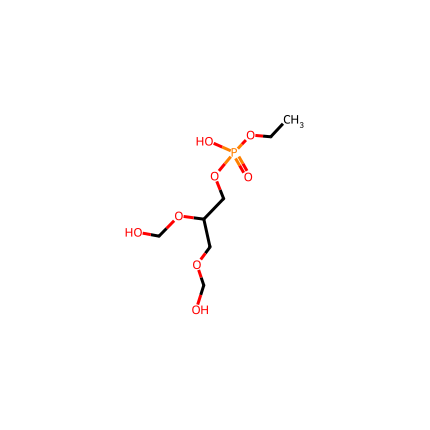 CCOP(=O)(O)OCC(COCO)OCO